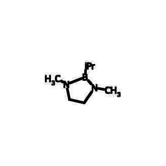 CC(C)B1N(C)CCN1C